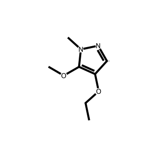 CCOc1[c]nn(C)c1OC